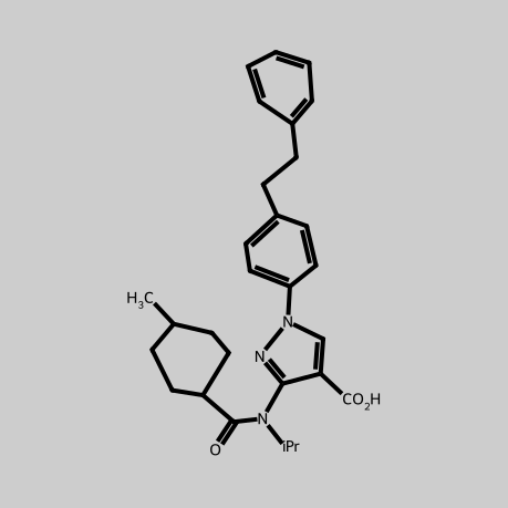 CC1CCC(C(=O)N(c2nn(-c3ccc(CCc4ccccc4)cc3)cc2C(=O)O)C(C)C)CC1